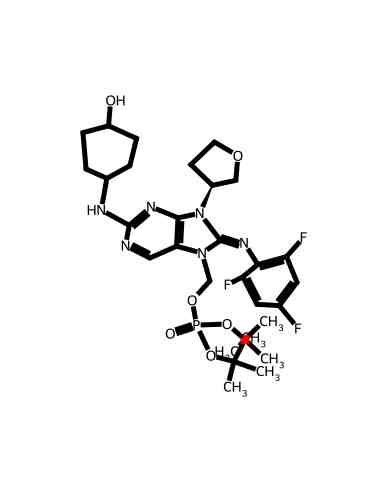 CC(C)(C)OP(=O)(OCn1/c(=N\c2c(F)cc(F)cc2F)n([C@H]2CCOC2)c2nc(NC3CCC(O)CC3)ncc21)OC(C)(C)C